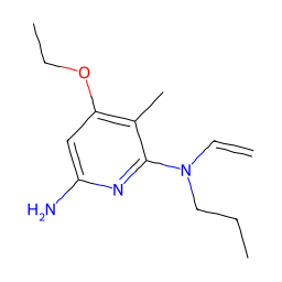 C=CN(CCC)c1nc(N)cc(OCC)c1C